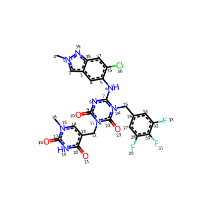 Cn1cc2cc(Nc3nc(=O)n(Cc4cn(C)c(=O)[nH]c4=O)c(=O)n3Cc3cc(F)c(F)c(F)c3)c(Cl)cc2n1